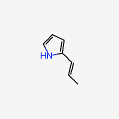 CC=Cc1ccc[nH]1